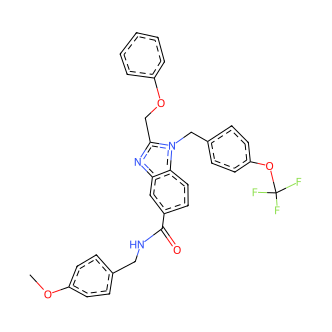 COc1ccc(CNC(=O)c2ccc3c(c2)nc(COc2ccccc2)n3Cc2ccc(OC(F)(F)F)cc2)cc1